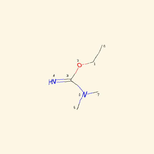 CCOC(=N)N(C)C